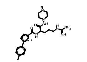 Cc1ccc(-c2ccc(C(=O)NC(CCCNC(=N)N)C(=O)NN3CCN(C)CC3)[nH]2)cc1